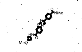 CNC(=O)c1ccc(-c2cn3c(n2)sc2cc(C(=O)N[C@H]4C[C@@H](OC)C4)ccc23)cc1